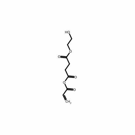 C=CC(=O)OC(=O)CCC(=O)OCCO